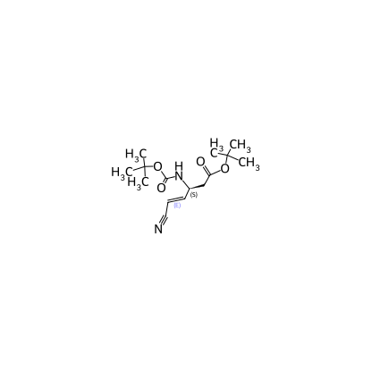 CC(C)(C)OC(=O)C[C@@H](/C=C/C#N)NC(=O)OC(C)(C)C